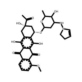 COc1cccc2c1C(=O)c1c(O)c3c(c(O)c1C2=O)C[C@@](O)(C(C)=O)C[C@@H]3OC1CC(NN2C=CCC2)C(O)C(C)O1